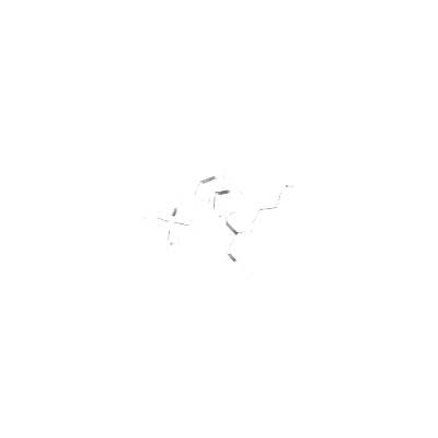 C=CC(=O)O.C=CC(=O)O.C=CC(=O)OCCO.O=P(O)(O)O